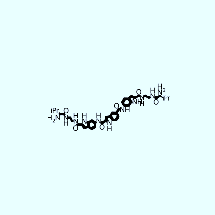 CC(C)[C@H](N)C(=O)NCCNC(=O)c1cc2ccc(NC(=O)c3ccc4[nH]c(C(=O)Nc5ccc6cc(C(=O)NCCNC(=O)[C@@H](N)C(C)C)[nH]c6c5)cc4c3)cc2[nH]1